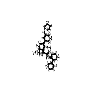 c1cncc(-c2cncc3[nH]c(-c4n[nH]c5ncc(-c6cncc(CN7CCCC7)c6)cc45)nc23)c1